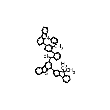 CCC(c1cc(-c2ccc3c(c2)C(C)(C)c2ccccc2-3)c2sc3ccccc3c2c1)c1ccccc1-c1ccc(-c2cccc3c4ccccc4n(-c4ccccc4)c23)cc1C